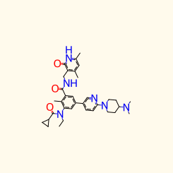 CCN(C(=O)C1CC1)c1cc(-c2ccc(N3CCC(N(C)C)CC3)nc2)cc(C(=O)NCc2c(C)cc(C)[nH]c2=O)c1C